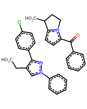 O=C(O)Cc1cn(-c2ccccc2)nc1-c1ccc(Cl)cc1.O=C(c1ccccc1)c1ccc2n1CCC2C(=O)O